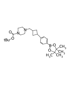 CC(C)(C)OC(=O)N1CCN(CC2CC(c3ccc(B4OC(C)(C)C(C)(C)O4)cc3)C2)CC1